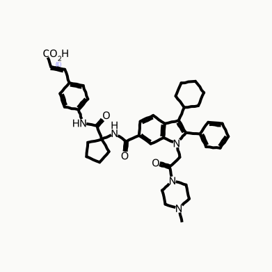 CN1CCN(C(=O)Cn2c(-c3ccccc3)c(C3CCCCC3)c3ccc(C(=O)NC4(C(=O)Nc5ccc(/C=C/C(=O)O)cc5)CCCC4)cc32)CC1